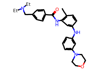 CCN(CC)Cc1ccc(C(=O)Nc2cc(Nc3cccc(N4CCOCC4)c3)ccc2C)cc1